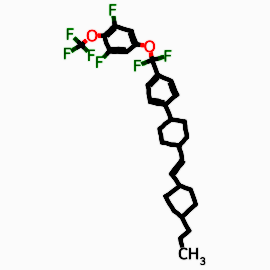 CCCC1CCC(/C=C/C2CCC(c3ccc(C(F)(F)Oc4cc(F)c(OC(F)(F)F)c(F)c4)cc3)CC2)CC1